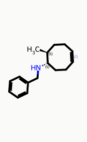 C[C@H]1CC/C=C\CC[C@@H]1NCc1ccccc1